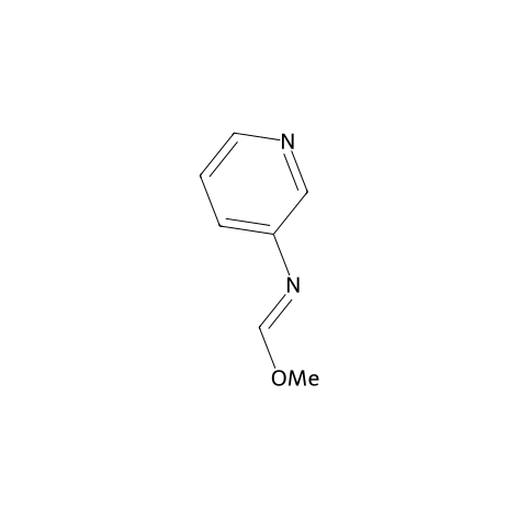 COC=Nc1cccnc1